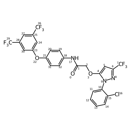 O=C(COc1cc(C(F)(F)F)nn1-c1ccccc1Cl)Nc1ccc(Oc2cc(C(F)(F)F)cc(C(F)(F)F)c2)cc1